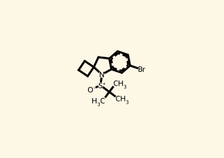 CC(C)(C)[S+]([O-])N1c2cc(Br)ccc2CC12CCC2